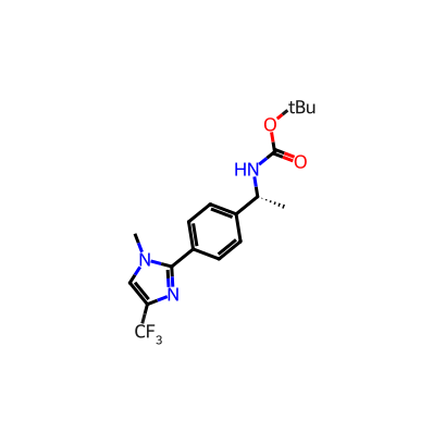 C[C@@H](NC(=O)OC(C)(C)C)c1ccc(-c2nc(C(F)(F)F)cn2C)cc1